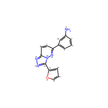 Nc1cccc(-c2ccc3nnc(-c4ccco4)n3n2)c1